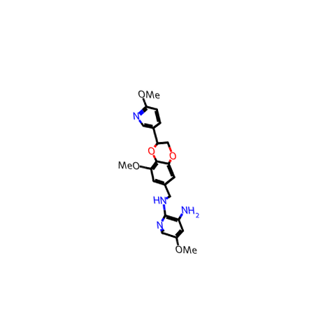 COc1cnc(NCc2cc(OC)c3c(c2)OCC(c2ccc(OC)nc2)O3)c(N)c1